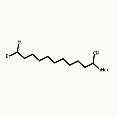 CCCCCCC(C#N)CCCCCCCCCC(CC)CC